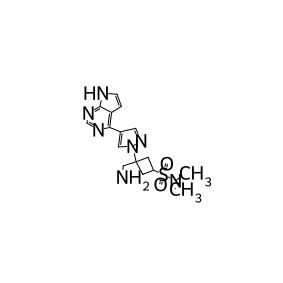 CN(C)S(=O)(=O)C1CC(CN)(n2cc(-c3ncnc4[nH]ccc34)cn2)C1